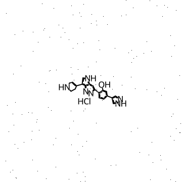 Cl.Oc1cc(-c2cn[nH]c2)ccc1-c1cc2[nH]cc(C3=CCNCC3)c2nn1